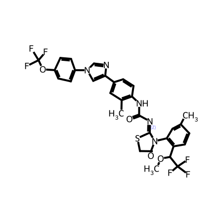 COC(c1ccc(C)cc1N1C(=O)CS/C1=N\C(=O)Nc1ccc(-c2cn(-c3ccc(OC(F)(F)F)cc3)cn2)cc1C)C(F)(F)F